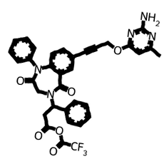 Cc1cc(OCC#Cc2ccc3c(c2)C(=O)N(C(CC(=O)OC(=O)C(F)(F)F)c2ccccc2)CC(=O)N3c2ccccc2)nc(N)n1